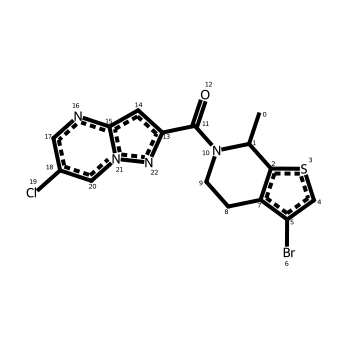 CC1c2scc(Br)c2CCN1C(=O)c1cc2ncc(Cl)cn2n1